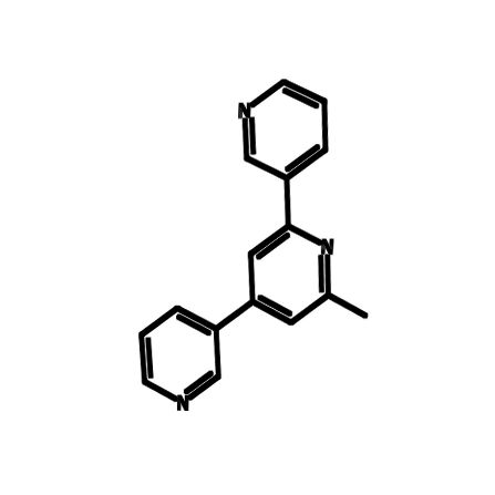 Cc1cc(-c2cccnc2)cc(-c2cccnc2)n1